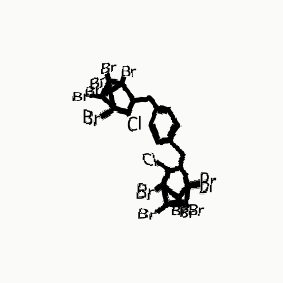 ClC1C(Cc2ccc(CC3C(Cl)C4(Br)C(Br)=C(Br)C3(Br)C4(Br)Br)cc2)C2(Br)C(Br)=C(Br)C1(Br)C2(Br)Br